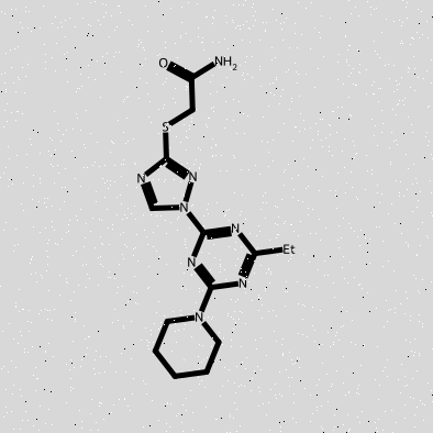 CCc1nc(N2CCCCC2)nc(-n2cnc(SCC(N)=O)n2)n1